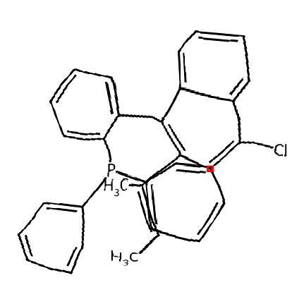 CC=C(C)c1cc(Cl)c2ccccc2c1-c1ccccc1P(c1ccccc1)c1ccccc1